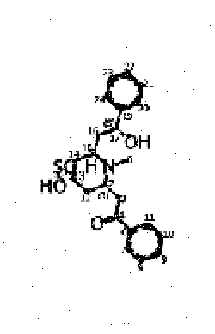 CN1[C@@H](CC(=O)c2ccccc2)CCC[C@H]1C[C@H](O)c1ccccc1.O=S(=O)(O)O